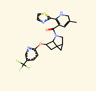 CC1=CC(C(=O)N2CC3CC34CC(Oc3ccc(C(F)(F)F)cn3)C24)=C(c2nccs2)NC1